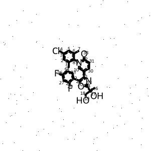 Cc1cc(Cl)cc(C)c1-n1cc(-c2nc(C(C)(O)CO)oc2-c2ccc(F)cc2F)ccc1=O